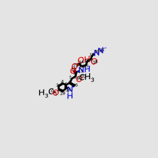 COc1ccc2c(CC(OC)C(=O)NC(CCC(=O)C=[N+]=[N-])C(=O)O)c[nH]c2c1